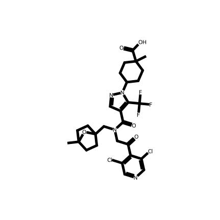 CC12CCC(CN(CC(=O)c3c(Cl)cncc3Cl)C(=O)c3cnn(C4CCC(C)(C(=O)O)CC4)c3C(F)(F)F)(CC1)O2